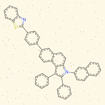 c1ccc(-c2c(-c3ccccc3)n(-c3ccc4ccccc4c3)c3ccc4cc(-c5ccc(-c6nc7ccccc7s6)cc5)ccc4c23)cc1